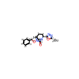 CC[C@@H](C)c1nnc([C@@H]2CC[C@@H]3CN2C(=O)N3OCc2ccccc2)o1